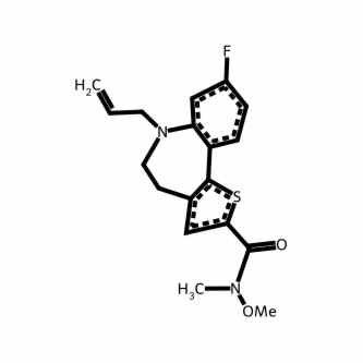 C=CCN1CCc2cc(C(=O)N(C)OC)sc2-c2ccc(F)cc21